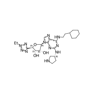 CCn1nnc([C@H]2O[C@@H](n3cnc4c(NCCC5CCCCC5)nc(N[C@@H]5CCNC5)nc43)[C@H](O)[C@@H]2O)n1